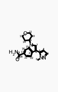 Cn1nccc1-c1cn(C2CCOCC2)c2cc(C(N)=O)ccc12